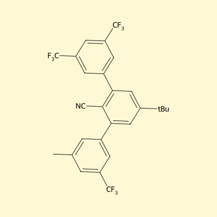 Cc1cc(-c2cc(C(C)(C)C)cc(-c3cc(C(F)(F)F)cc(C(F)(F)F)c3)c2C#N)cc(C(F)(F)F)c1